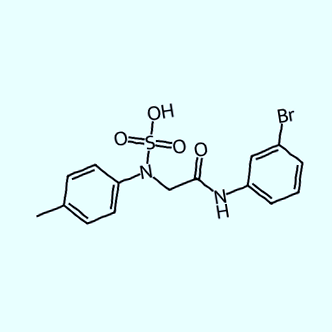 Cc1ccc(N(CC(=O)Nc2cccc(Br)c2)S(=O)(=O)O)cc1